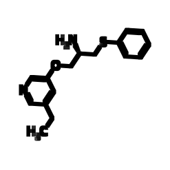 CCc1cncc(OC[C@@H](N)CSc2ccccc2)c1